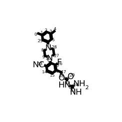 Cc1cc(C)cc(N2CCN(c3c(C#N)ccc(COC(=O)NC(=N)N)c3F)CC2)c1